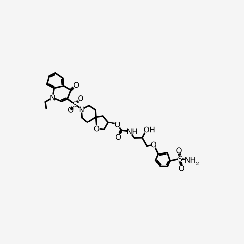 CCn1cc(S(=O)(=O)N2CCC3(CC2)C[C@@H](OC(=O)NCC(O)COc2cccc(S(N)(=O)=O)c2)CO3)c(=O)c2ccccc21